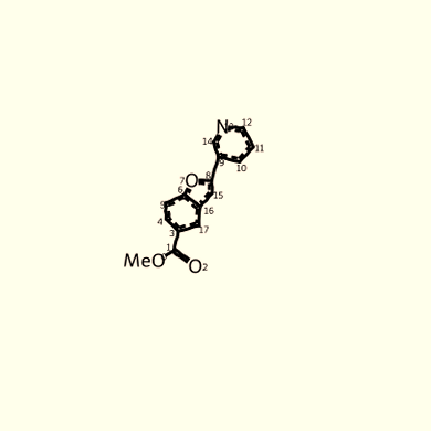 COC(=O)c1ccc2oc(-c3cccnc3)cc2c1